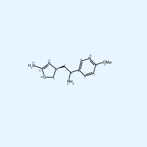 COc1ccc(C(N)C[C@H]2COC(N)=N2)cn1